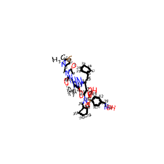 Cc1nc(CN2C(=O)CN([C@H](C(=O)N[C@@H](Cc3ccccc3)[C@H](O)CN(CC3CCCC3)S(=O)(=O)c3ccc(C=NO)cc3)C(C)C)C2=O)cs1